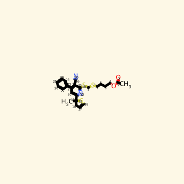 CC(=O)OCCCCSCSc1nc(C2(C)CC=CS2)cc(-c2ccccc2)c1C#N